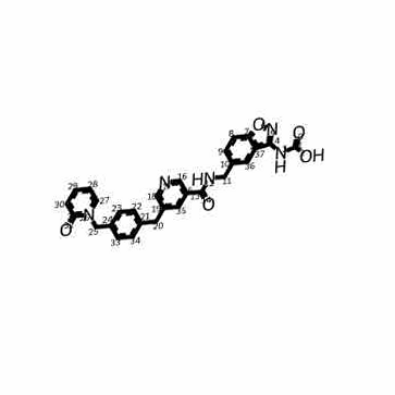 O=C(O)Nc1noc2ccc(CNC(=O)c3cncc(Cc4ccc(Cn5ccccc5=O)cc4)c3)cc12